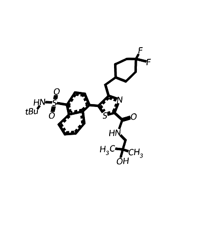 CC(C)(O)CNC(=O)c1nc(CC2CCC(F)(F)CC2)c(-c2ccc(S(=O)(=O)NC(C)(C)C)c3ccccc23)s1